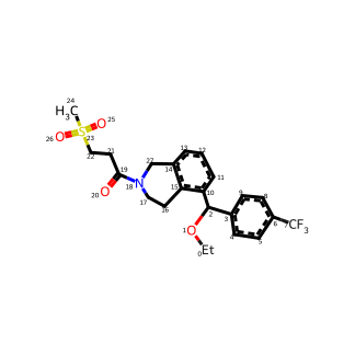 CCOC(c1ccc(C(F)(F)F)cc1)c1cccc2c1CCN(C(=O)CCS(C)(=O)=O)C2